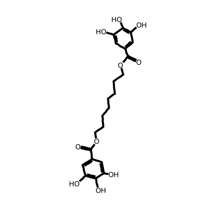 O=C(OCCCCCCCCOC(=O)c1cc(O)c(O)c(O)c1)c1cc(O)c(O)c(O)c1